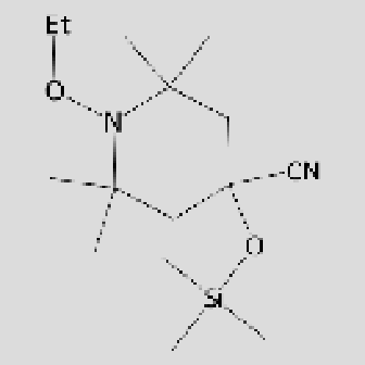 CCON1C(C)(C)CC(C#N)(O[Si](C)(C)C)CC1(C)C